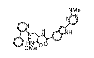 CNc1nccc(-c2cc3cc(C(=O)NC(CNc4ncccc4-c4ccccc4)C(=O)NOC)ccc3[nH]2)n1